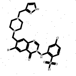 CCS(=O)(=O)c1ccc(Cl)cc1Nn1cnc2cc(CN3CCN(Cc4cc[nH]n4)CC3)c(Br)cc2c1=O